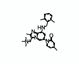 Cc1ccn(-c2cc(NCc3c(C)cccc3C)c3nc(C)c(C[N+](C)(C)C)n3c2)c(=O)c1